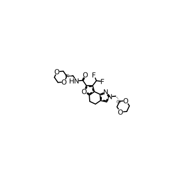 O=C(NC[C@@H]1COCCO1)c1oc2c(c1C(F)F)-c1nn(C[C@H]3COCCO3)cc1CC2